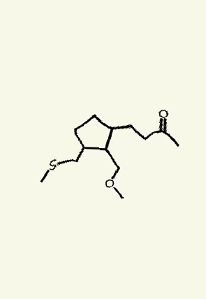 COCC1C(CCC(C)=O)CCC1CSC